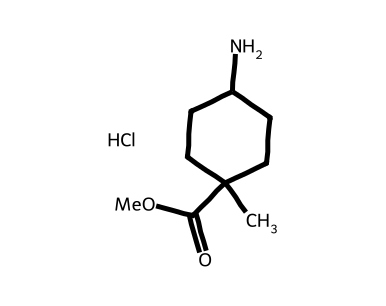 COC(=O)C1(C)CCC(N)CC1.Cl